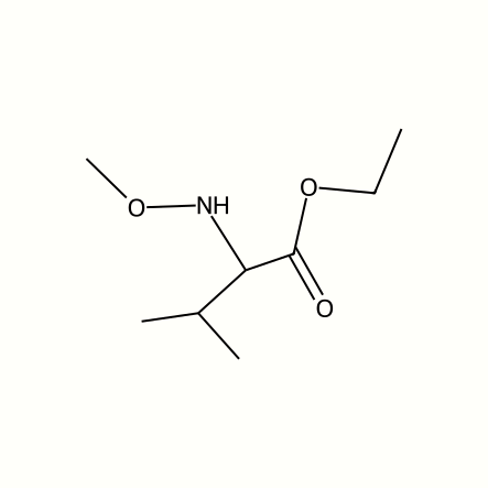 CCOC(=O)C(NOC)C(C)C